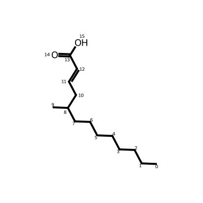 CCCCCCCCC(C)CC=CC(=O)O